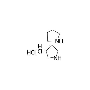 C1CCNC1.C1CCNC1.Cl.Cl